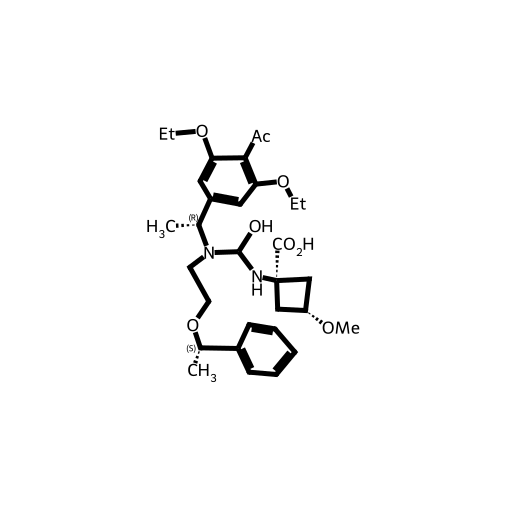 CCOc1cc([C@@H](C)N(CCO[C@@H](C)c2ccccc2)C(O)N[C@]2(C(=O)O)C[C@@H](OC)C2)cc(OCC)c1C(C)=O